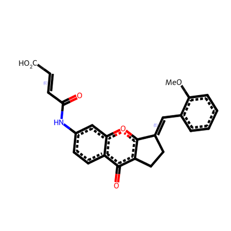 COc1ccccc1/C=C1\CCc2c1oc1cc(NC(=O)/C=C/C(=O)O)ccc1c2=O